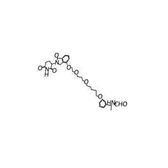 CC(NC=O)c1cccc(OCCCCCOCCCOCCOc2cccc3c2CN(C2CCC(=O)NC2=O)C3=O)c1